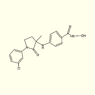 CC1(Nc2ccc(C(=O)NO)cc2)CCN(c2cccc(Cl)c2)C1=O